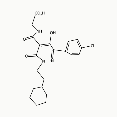 O=C(O)CNC(=O)c1c(O)c(-c2ccc(Cl)cc2)nn(CCC2CCCCC2)c1=O